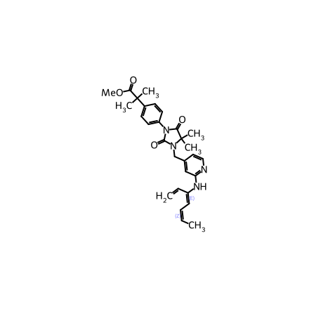 C=C/C(=C\C=C/C)Nc1cc(CN2C(=O)N(c3ccc(C(C)(C)C(=O)OC)cc3)C(=O)C2(C)C)ccn1